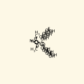 CCOC1=CC(=[N+]=[N-])C(OCC)C=C1N1CCOCC1.O=P(O)(O)F.O=P(O)(O)F.O=P(O)(O)F.O=P(O)(O)F.O=P(O)(O)F.O=P(O)(O)F